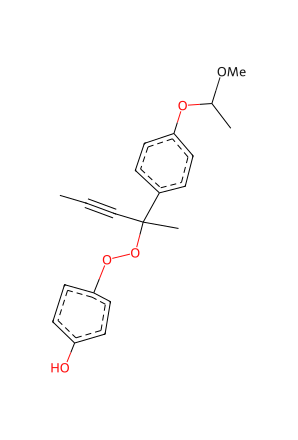 CC#CC(C)(OOc1ccc(O)cc1)c1ccc(OC(C)OC)cc1